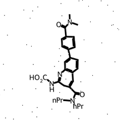 CCCN(CCC)C(=O)C1=Cc2ccc(-c3ccc(C(=O)N(C)C)cc3)cc2N=C(NC(=O)O)C1